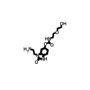 NCCn1c(=O)[nH]c2ccc(OC(=O)NCCOCCO)cc21